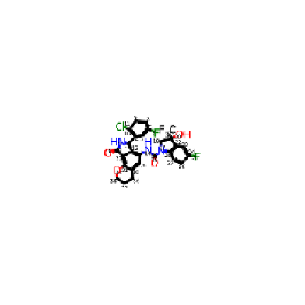 O=C1NC(c2cc(F)ccc2Cl)c2c(NC(=O)N3CC(O)(C(F)(F)F)c4cc(F)ccc43)cc3c(c21)OCCC3